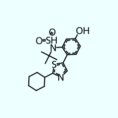 CC(C)(C)N(c1cc(O)ccc1-c1cnc(C2CCCCC2)s1)[SH](=O)=O